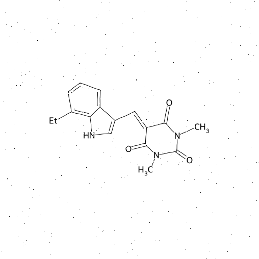 CCc1cccc2c(C=C3C(=O)N(C)C(=O)N(C)C3=O)c[nH]c12